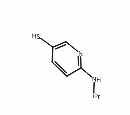 CC(C)Nc1ccc(S)cn1